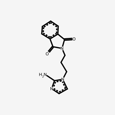 Nc1nccn1CCCN1C(=O)c2ccccc2C1=O